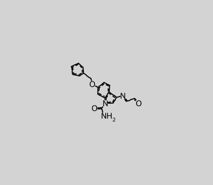 NC(=O)n1cc(N=CC=O)c2ccc(OCc3ccccc3)cc21